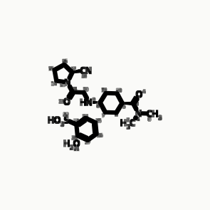 CN(C)C(=O)[C@H]1CC[C@H](NCC(=O)N2CCC[C@H]2C#N)CC1.O.O=S(=O)(O)c1ccccc1